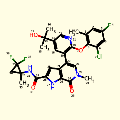 Cc1cc(F)cc(Cl)c1Oc1ncc(C(C)(C)O)cc1-c1cn(C)c(=O)c2[nH]c(C(=O)NC3(C)CC3(F)F)cc12